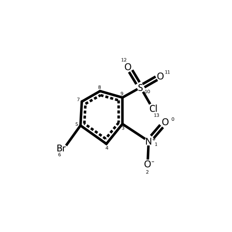 O=[N+]([O-])c1cc(Br)ccc1S(=O)(=O)Cl